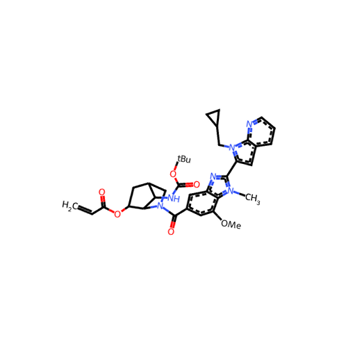 C=CC(=O)OC1CC2CN(C(=O)c3cc(OC)c4c(c3)nc(-c3cc5cccnc5n3CC3CC3)n4C)C1C2NC(=O)OC(C)(C)C